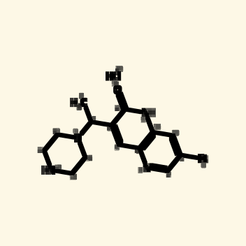 CCc1cnc2cc(C(C)N3CCNCC3)c(=O)[nH]c2c1.Cl